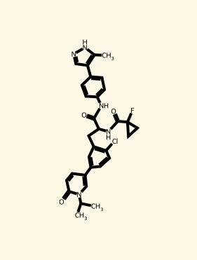 Cc1[nH]ncc1-c1ccc(NC(=O)C(Cc2cc(-c3ccc(=O)n(C(C)C)c3)ccc2Cl)NC(=O)C2(F)CC2)cc1